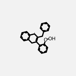 OOc1ccccc1C1=C(Cc2ccccc2)[CH]c2ccccc2C1